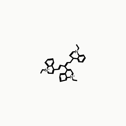 CCN1C=CC(CC=C(C=Cc2cc[n+](CC)c3ccccc23)c2cc[n+](CC)c3ccccc23)c2ccccc21